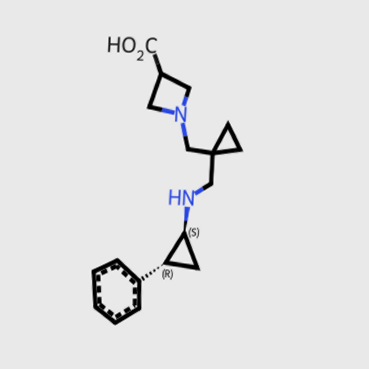 O=C(O)C1CN(CC2(CN[C@H]3C[C@@H]3c3ccccc3)CC2)C1